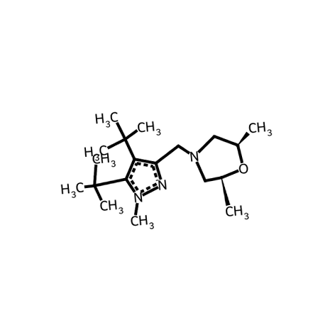 C[C@@H]1CN(Cc2nn(C)c(C(C)(C)C)c2C(C)(C)C)C[C@H](C)O1